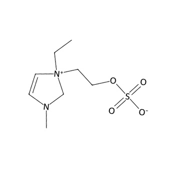 CC[N+]1(CCOS(=O)(=O)[O-])C=CN(C)C1